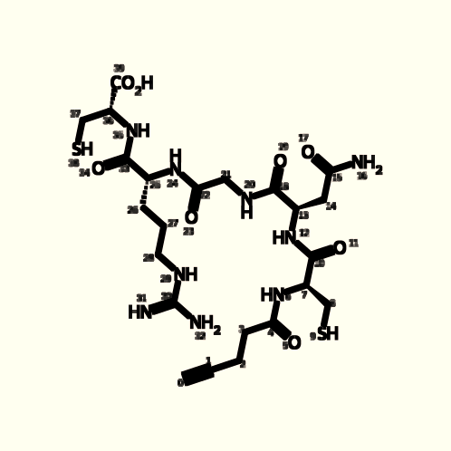 C#CCCC(=O)N[C@H](CS)C(=O)N[C@H](CC(N)=O)C(=O)NCC(=O)N[C@H](CCCNC(=N)N)C(=O)N[C@H](CS)C(=O)O